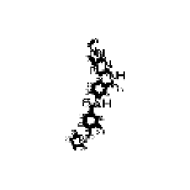 CCn1cc2ncc(N[C@@H](C)c3cccc(NC(=O)c4ccc(CN5CCCC5)c(C)c4)c3)nc2n1